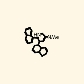 CNC1=CC(C2CC=CC3CCC=CC32)C(c2cccc3ccccc23)NC1